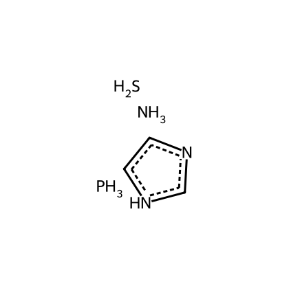 N.P.S.c1c[nH]cn1